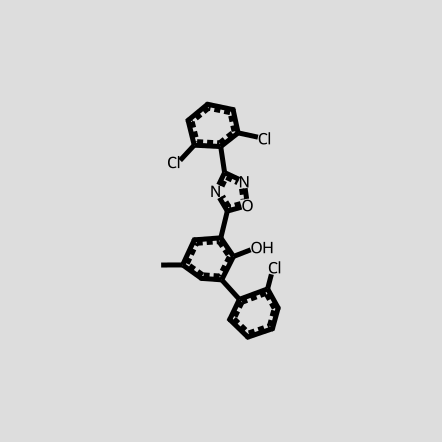 Cc1cc(-c2nc(-c3c(Cl)cccc3Cl)no2)c(O)c(-c2ccccc2Cl)c1